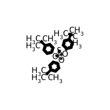 CC(C)(C)c1ccc(OP(=S)(Oc2ccc(C(C)(C)C)cc2)Oc2ccc(C(C)(C)C)cc2)cc1